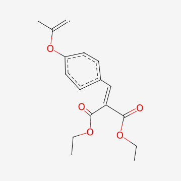 [CH]=C(C)Oc1ccc(C=C(C(=O)OCC)C(=O)OCC)cc1